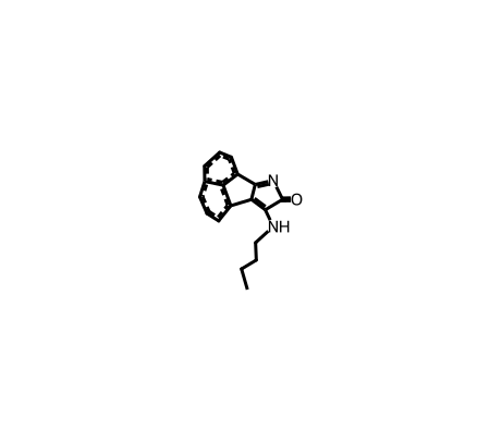 CCCCNC1=C2C(=NC1=O)c1cccc3cccc2c13